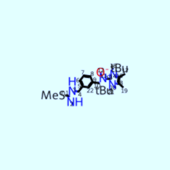 CSC(=N)NCc1cccc(/C=[N+](\[O-])C2N(C(C)(C)C)C(C)=C(C)N2C(C)(C)C)c1